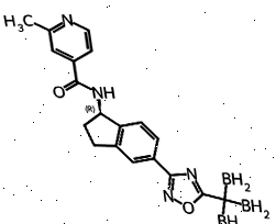 BC(B)(B)c1nc(-c2ccc3c(c2)CC[C@H]3NC(=O)c2ccnc(C)c2)no1